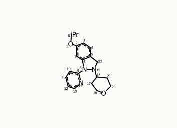 CC(C)Oc1ccc2c(c1)N(c1ccccn1)N(C1CCOCC1)C2